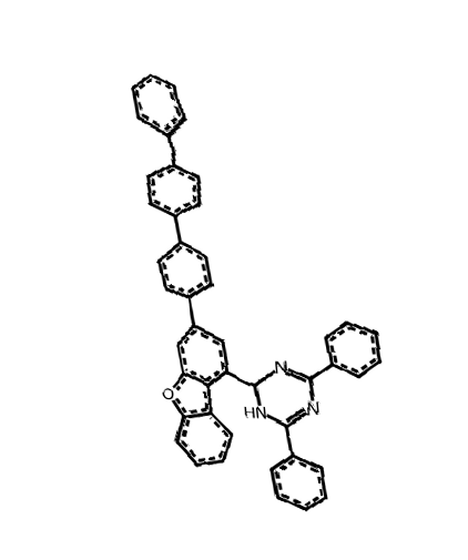 c1ccc(C2=NC(c3cc(-c4ccc(-c5ccc(-c6ccccc6)cc5)cc4)cc4oc5ccccc5c34)NC(c3ccccc3)=N2)cc1